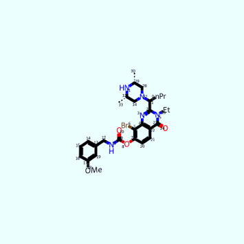 CCCC(c1nc2c(Br)c(OC(=O)NCc3cccc(OC)c3)ccc2c(=O)n1CC)N1C[C@@H](C)N[C@@H](C)C1